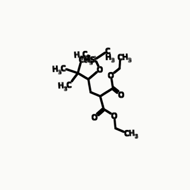 CCOC(=O)C(CC(O[SiH](C)C)C(C)(C)C)C(=O)OCC